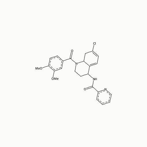 COc1ccc(C(=O)N2CCC(NC(=O)c3ccccn3)C3=CC=C(Cl)CC32)cc1OC